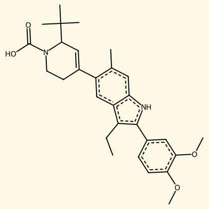 CCc1c(-c2ccc(OC)c(OC)c2)[nH]c2cc(C)c(C3=CC(C(C)(C)C)N(C(=O)O)CC3)cc12